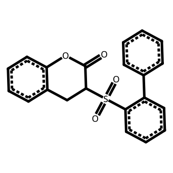 O=C1Oc2ccccc2CC1S(=O)(=O)c1ccccc1-c1ccccc1